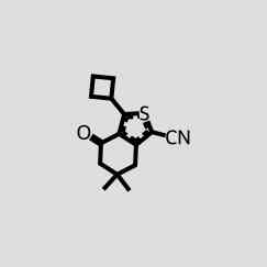 CC1(C)CC(=O)c2c(C3CCC3)sc(C#N)c2C1